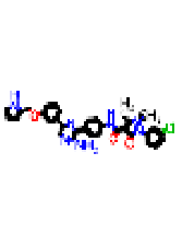 Cc1c(C(=O)Nc2ccc(-c3nc(-c4cccc(OCC5CCCN5)c4)cnc3N)cc2)c(=O)n(-c2cccc(Cl)c2)n1C